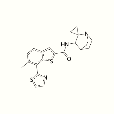 Cc1ccc2cc(C(=O)NC3C4CCN(CC4)C34CC4)sc2c1-c1nccs1